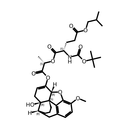 COc1ccc2c3c1O[C@H]1C(OC(=O)[C@H](C)OC(=O)[C@H](CCC(=O)OCC(C)C)NC(=O)OC(C)(C)C)=CC[C@@]4(O)[C@H](CCC[C@]314)C2